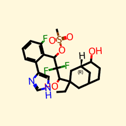 CCC1(C(O)C(F)(F)C(OS(C)(=O)=O)c2c(F)cccc2-c2c[nH]cn2)CC2CCC(O)[C@H](C2)C1